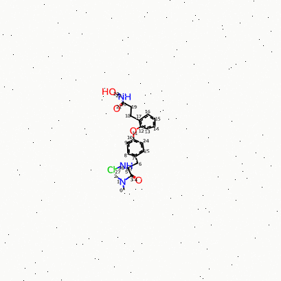 CN(C)C(=O)[C@H](Cc1ccc(Oc2ccccc2CCC(=O)NO)cc1)NCl